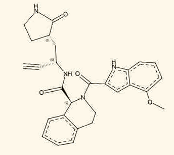 C#C[C@H](C[C@@H]1CCNC1=O)NC(=O)[C@@H]1c2ccccc2CCN1C(=O)c1cc2c(OC)cccc2[nH]1